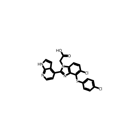 O=C(O)Cn1c(-c2ccnc3[nH]ccc23)nc2c(Sc3ccc(Cl)cc3)c(Cl)ccc21